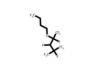 FC(C(F)(OCCCC(F)(F)F)C(F)(F)F)C(F)(C(F)(F)F)C(F)(F)F